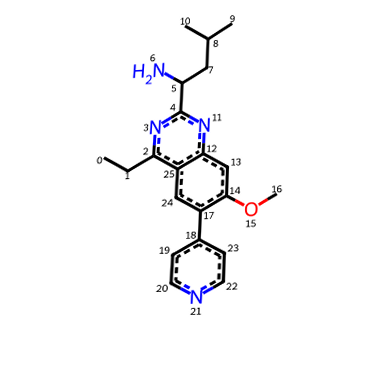 CCc1nc(C(N)CC(C)C)nc2cc(OC)c(-c3ccncc3)cc12